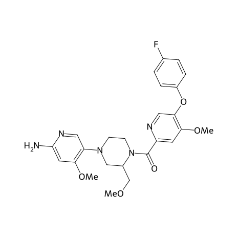 COCC1CN(c2cnc(N)cc2OC)CCN1C(=O)c1cc(OC)c(Oc2ccc(F)cc2)cn1